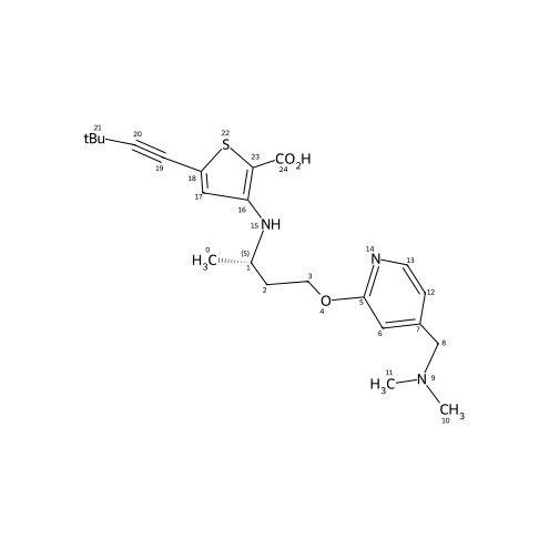 C[C@@H](CCOc1cc(CN(C)C)ccn1)Nc1cc(C#CC(C)(C)C)sc1C(=O)O